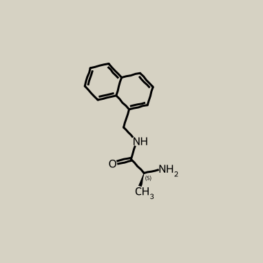 C[C@H](N)C(=O)NCc1cccc2ccccc12